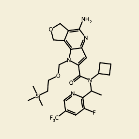 CC(c1ncc(C(F)(F)F)cc1F)N(C(=O)c1cc2nc(N)c3c(c2n1COCC[Si](C)(C)C)COC3)C1CCC1